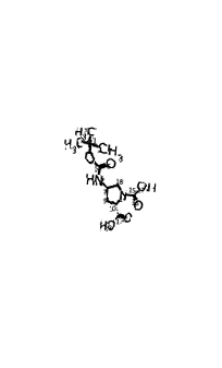 CC(C)(C)OC(=O)N[C@@H]1C[C@@H](C(=O)O)N(C(=O)O)C1